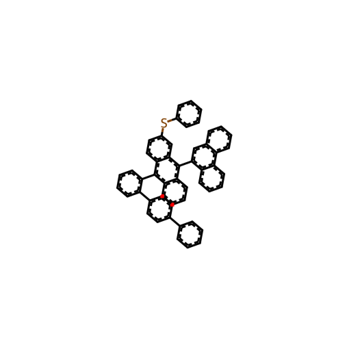 c1ccc(Sc2ccc3c(-c4ccccc4-c4ccc(-c5ccccc5)cc4)c4ccccc4c(-c4cc5ccccc5c5ccccc45)c3c2)cc1